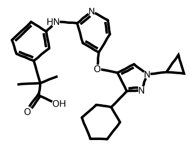 CC(C)(C(=O)O)c1cccc(Nc2cc(Oc3cn(C4CC4)nc3C3CCCCC3)ccn2)c1